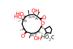 C[C@@H]1[C@H](O)[C@@H](C)C(=O)[C@H](C)C[C@@](C)(O)[C@H](O)[C@@H](C)[C@H](O)[C@@H](C)C(=O)O[C@@H]1C1CCC[C@H]1C(=O)O